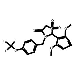 COc1cccc(OC)c1C1N(Cc2ccc(OC(F)(F)F)cc2)C(=O)CS1(=O)=O